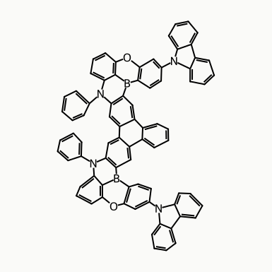 c1ccc(N2c3cc4c(cc3B3c5ccc(-n6c7ccccc7c7ccccc76)cc5Oc5cccc2c53)c2ccccc2c2cc3c(cc24)N(c2ccccc2)c2cccc4c2B3c2ccc(-n3c5ccccc5c5ccccc53)cc2O4)cc1